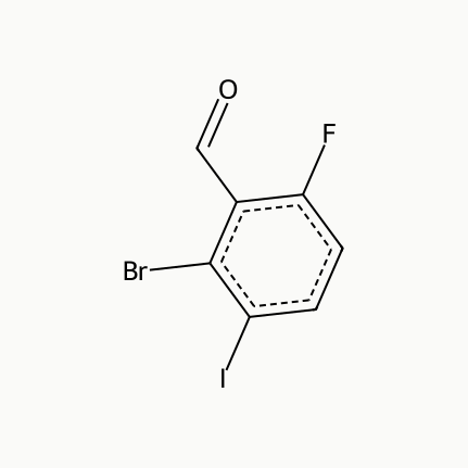 O=Cc1c(F)ccc(I)c1Br